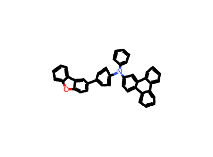 c1ccc(N(c2ccc(-c3ccc4oc5ccccc5c4c3)cc2)c2ccc3c4ccccc4c4ccccc4c3c2)cc1